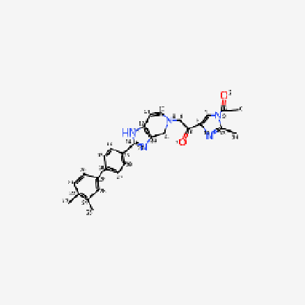 CC(=O)n1cc(C(=O)CN2C=Cc3[nH]c(-c4ccc(-c5ccc(C)c(C)c5)cc4)nc3C2)nc1C